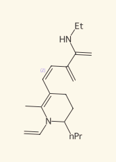 C=CN1C(C)=C(/C=C\C(=C)C(=C)NCC)CCC1CCC